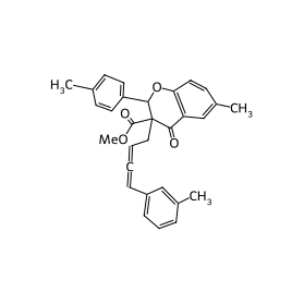 COC(=O)C1(CC=C=Cc2cccc(C)c2)C(=O)c2cc(C)ccc2OC1c1ccc(C)cc1